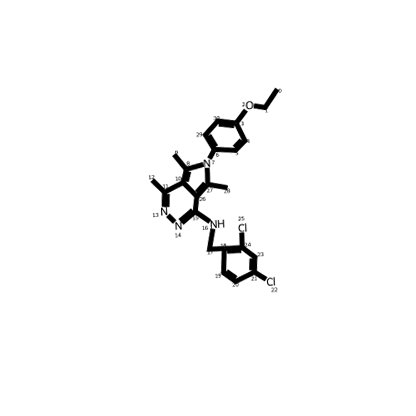 CCOc1ccc(-n2c(C)c3c(C)nnc(NCc4ccc(Cl)cc4Cl)c3c2C)cc1